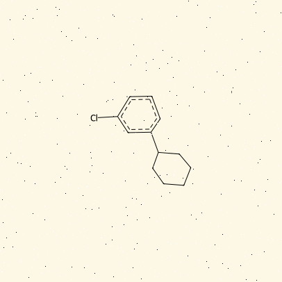 Clc1[c]ccc(C2CCCCC2)c1